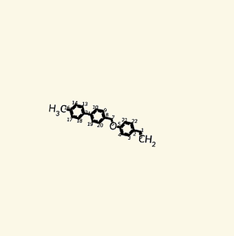 C=Cc1ccc(OCc2ccc(-c3ccc(C)cc3)cc2)cc1